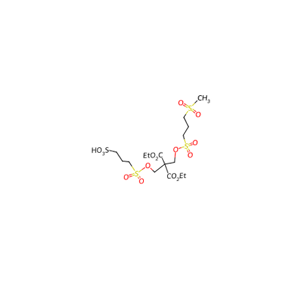 CCOC(=O)C(COS(=O)(=O)CCCS(C)(=O)=O)(COS(=O)(=O)CCCS(=O)(=O)O)C(=O)OCC